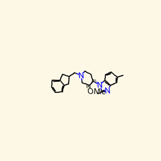 CO[C@@H]1CN(CC2Cc3ccccc3C2)CC[C@H]1n1c(C)nc2cc(C)ccc21